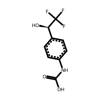 O=C(O)Nc1ccc([C@@H](O)C(F)(F)F)cc1